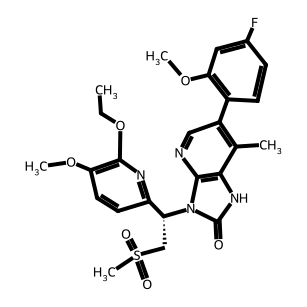 CCOc1nc([C@@H](CS(C)(=O)=O)n2c(=O)[nH]c3c(C)c(-c4ccc(F)cc4OC)cnc32)ccc1OC